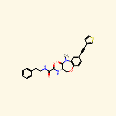 CN1C(=O)[C@@H](NC(=O)C(=O)NCCc2ccccc2)COc2ccc(C#Cc3ccsc3)cc21